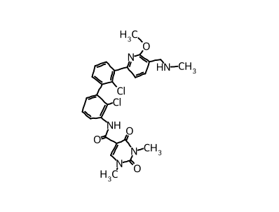 CNCc1ccc(-c2cccc(-c3cccc(NC(=O)c4cn(C)c(=O)n(C)c4=O)c3Cl)c2Cl)nc1OC